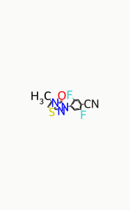 Cc1csc2nn(-c3cc(F)c(C#N)cc3F)c(=O)n12